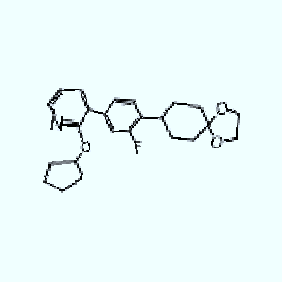 Fc1cc(-c2cccnc2OC2CCCC2)ccc1C1CCC2(CC1)OCCO2